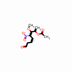 C=C(OC(C)=O)/C(OC)=C(\C=C/CC=O)[N+](=O)[O-]